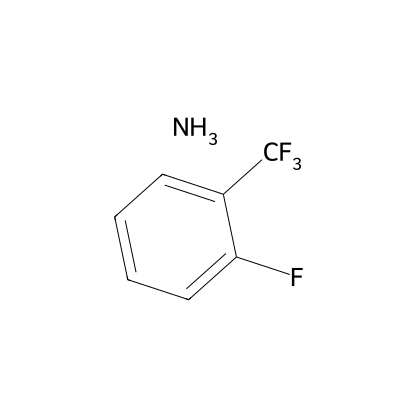 Fc1ccccc1C(F)(F)F.N